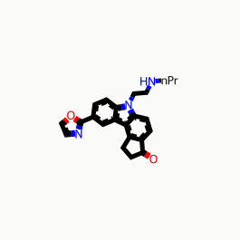 CCCNCCn1c2ccc(-c3ncco3)cc2c2c3c(ccc21)C(=O)CC3